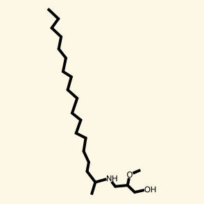 CCCCCCCCCCCCCCCCCC(C)NCC(CO)OC